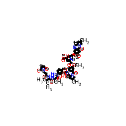 C=C1C[C@H]2C=Nc3cc(OCc4cc(C(=O)O)cc(COc5cc6c(cc5OC)C(=O)N5CC(=C)C[C@H]5[C@H](O)N6C(=O)OCc5ccc(NC(=O)[C@H](C)NC(=O)[C@@H](NC(=O)CCN6C(=O)C=CC6=O)C(C)C)cc5)n4)c(OC)cc3C(=O)N2C1